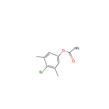 CCCC(=O)Oc1cc(C)c(Br)c(C)c1